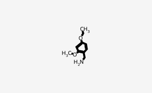 CCOc1ccc(CN)c(OC)c1